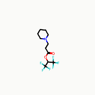 O=C(CCN1CCCCC1)OC(C(F)(F)F)C(F)(F)F